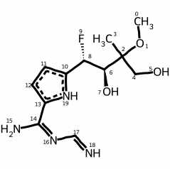 COC(C)(CO)[C@@H](O)[C@@H](F)c1ccc(/C(N)=N\C=N)[nH]1